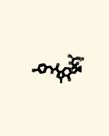 CC(C)[C@@H](NS(=O)(=O)C1(CN2CCc3c(C(=O)NCc4ccc(Cl)cc4)nn(C)c3C2=O)CC1)C(=O)O